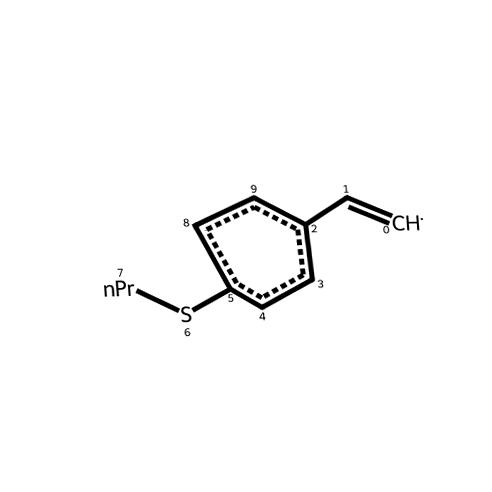 [CH]=Cc1ccc(SCCC)cc1